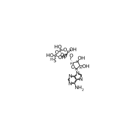 Nc1ncnc2c1ncn2[C@@H]1O[C@H](COP(=O)(O)OP(=O)(O)OP(O)(O)=[35S])[C@@H](O)[C@H]1O